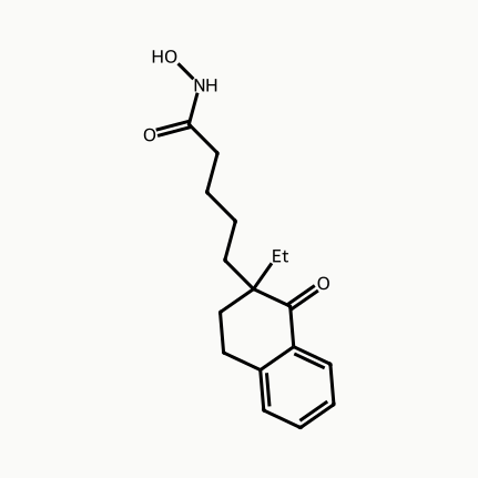 CCC1(CCCCC(=O)NO)CCc2ccccc2C1=O